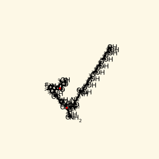 CC[C@@]1(O)C(=O)OCc2c1cc1n(c2=O)Cc2c-1nc1cc(F)c(C)c3c1c2[C@@H](NC(=O)OCc1ccc(NC(=O)[C@H](CCCNC(N)=O)NC(=O)[C@@H](NC(=O)[C@@H](N)CCCCNC(=O)C(O)COCC(O)COCC(O)COCC(O)COCC(O)COCC(O)COCC(O)CN(O)O)C(C)C)cc1)CC3